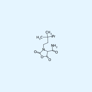 CC(C)C(C)(C)CCN1C(=O)OC(=O)C1C(N)=O